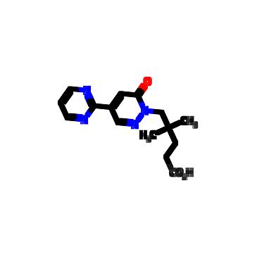 CC(C)(CCC(=O)O)Cn1ncc(-c2ncccn2)cc1=O